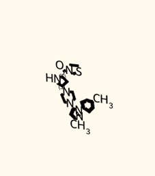 Cc1ccc(-n2nc(C)cc2N2CCN([C@@H]3CN[C@H](C(=O)N4CCSC4)C3)CC2)cc1